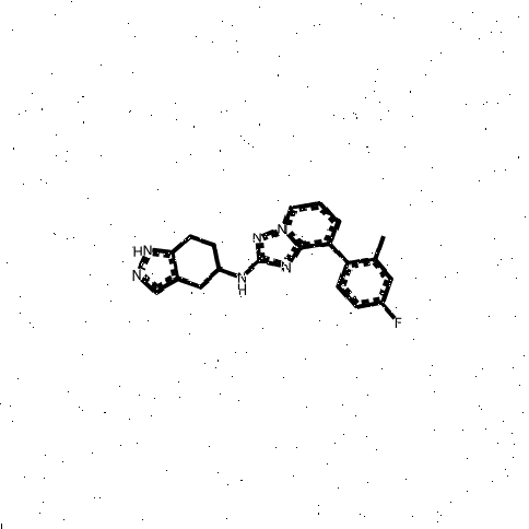 Cc1cc(F)ccc1-c1cccn2nc(NC3CCc4[nH]ncc4C3)nc12